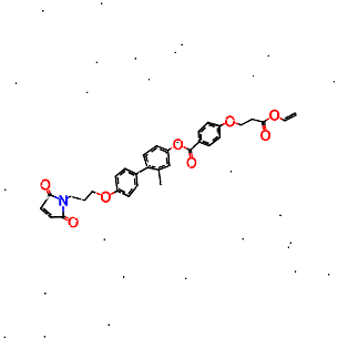 C=COC(=O)CCOc1ccc(C(=O)Oc2ccc(-c3ccc(OCCCN4C(=O)C=CC4=O)cc3)c(C)c2)cc1